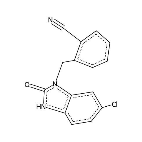 N#Cc1ccccc1Cn1c(=O)[nH]c2ccc(Cl)cc21